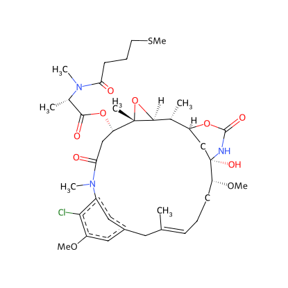 COc1cc2cc(c1Cl)N(C)C(=O)C[C@H](OC(=O)[C@H](C)N(C)C(=O)CCCSC)[C@]1(C)O[C@H]1[C@H](C)[C@@H]1C[C@@](O)(NC(=O)O1)[C@H](OC)CC/C=C(\C)C2